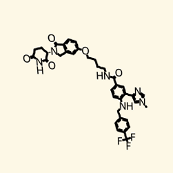 Cn1cnc(-c2cc(C(=O)NCCCCOc3ccc4c(c3)CN([C@H]3CCC(=O)NC3=O)C4=O)ccc2NCc2ccc(C(F)(F)F)cc2)c1